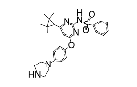 CC1(C)C(c2cc(Oc3ccc(N4CCNCC4)cc3)nc(NS(=O)(=O)c3ccccc3)n2)C1(C)C